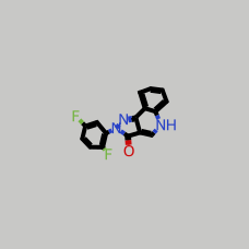 O=c1c2c[nH]c3ccccc3c-2nn1-c1cc(F)ccc1F